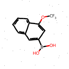 OB(O)c1cc(OC(F)(F)F)c2ccccc2c1